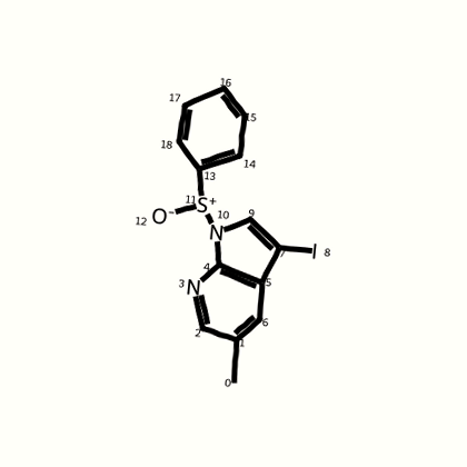 Cc1cnc2c(c1)c(I)cn2[S+]([O-])c1ccccc1